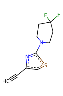 C#Cc1csc(N2CCC(F)(F)CC2)n1